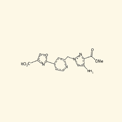 COC(=O)c1nn(Cc2cc(-c3nc(C(=O)O)co3)ccn2)cc1N